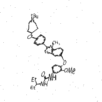 CCCCN1CCC(Oc2ccc(-c3nc4cc(Oc5ccc(NC(=O)NC(CC)CC)cc5OC)ccc4n3C)cc2)CC1